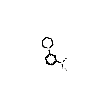 C[S+]([O-])c1cccc(N2CCCCC2)c1